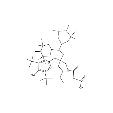 CCCCC(COC(=O)CC(=O)O)(Cc1cc(C(C)(C)C)c(O)c(C(C)(C)C)c1)CC(C1CC(C)(C)N(C)C(C)(C)C1)C1CC(C)(C)N(C)C(C)(C)C1